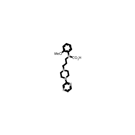 COc1ccccc1N(CCCN1CCN(c2cnccn2)CC1)C(=O)O